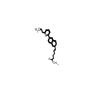 C=CCc1cccc(-c2ccc3cc(C=CCCCC(C)F)ccc3c2)n1